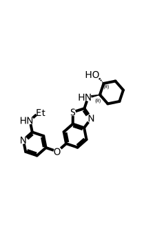 CCNc1cc(Oc2ccc3nc(N[C@@H]4CCCC[C@H]4O)sc3c2)ccn1